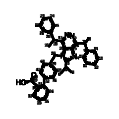 CC(C)c1nc2c(C(C)c3ccccc3)nnc(C(C)c3ccccc3)c2n1Cc1ccc(-c2ccccc2C(=O)O)cc1